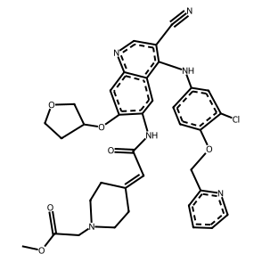 COC(=O)CN1CCC(=CC(=O)Nc2cc3c(Nc4ccc(OCc5ccccn5)c(Cl)c4)c(C#N)cnc3cc2OC2CCOC2)CC1